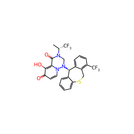 C[C@@H](N1CN([C@@H]2c3ccccc3SCc3c2cccc3C(F)(F)F)n2ccc(=O)c(O)c2C1=O)C(F)(F)F